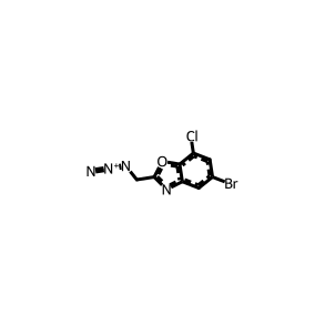 [N-]=[N+]=NCc1nc2cc(Br)cc(Cl)c2o1